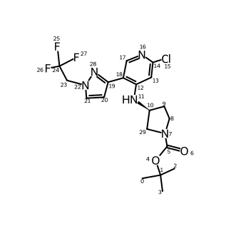 CC(C)(C)OC(=O)N1CC[C@H](Nc2cc(Cl)ncc2-c2ccn(CC(F)(F)F)n2)C1